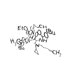 C=CCCCN(C[C@H](NC(=O)OC(C)(C)C)C(=O)N1C[C@H](O[Si](C)(C)C(C)(C)C)C[C@H]1C(=O)N[C@]1(C(=O)OCC)C[C@H]1C=C)C1CC1